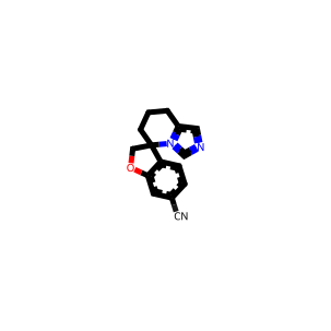 N#Cc1ccc2c(c1)OCC21CCCc2cncn21